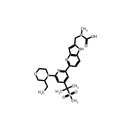 CCC1COCCN1c1cc(C(C)(C)S(C)(=O)=O)cc(-c2ccc3[nH]c(CN(C)C(=O)O)cc3n2)n1